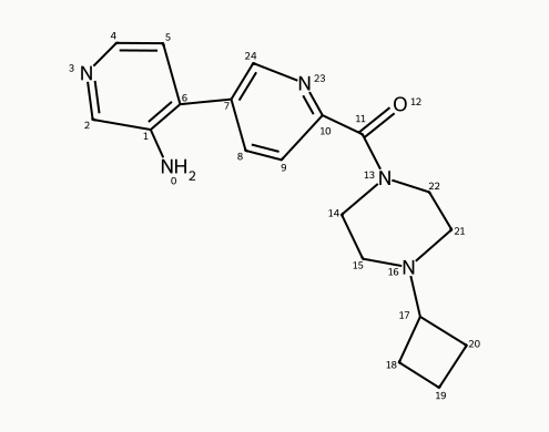 Nc1cnccc1-c1ccc(C(=O)N2CCN(C3CCC3)CC2)nc1